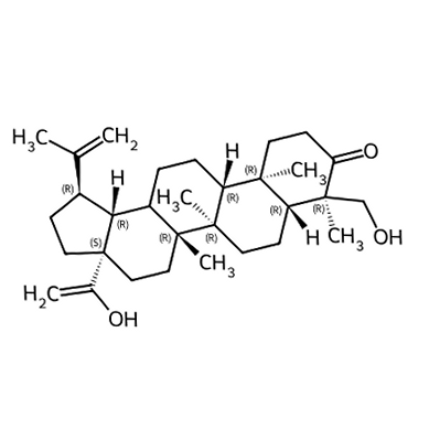 C=C(C)[C@@H]1CC[C@]2(C(=C)O)CC[C@]3(C)C(CC[C@@H]4[C@@]5(C)CCC(=O)[C@@](C)(CO)[C@@H]5CC[C@]43C)[C@@H]12